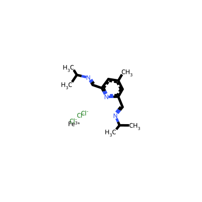 Cc1cc(C=NC(C)C)nc(C=NC(C)C)c1.[Cl-].[Cl-].[Cl-].[Fe+3]